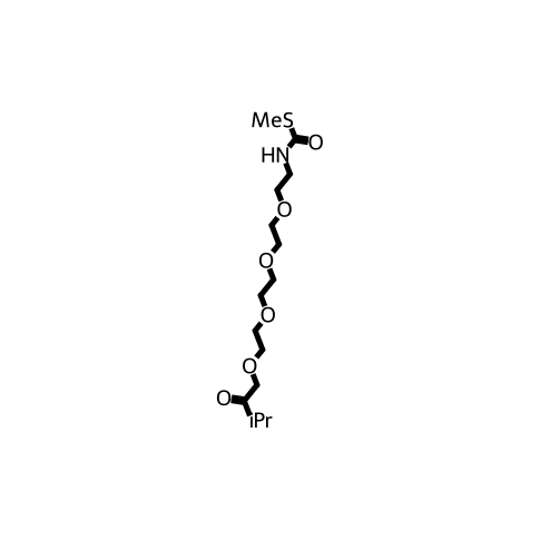 CSC(=O)NCCOCCOCCOCCOCC(=O)C(C)C